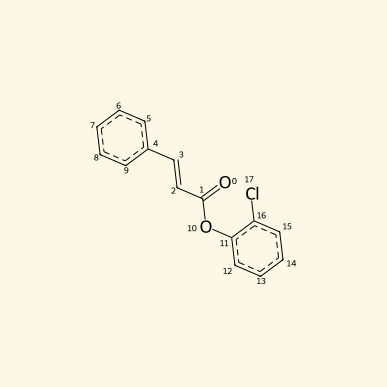 O=C(/C=C/c1ccccc1)Oc1ccccc1Cl